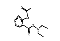 CCN(CC)OC(=O)c1ccccc1OC(C)=O